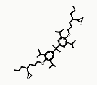 CCCC(CCCOc1c(C(C)C)cc(C(C)(C)c2cc(C(C)C)c(OCCCC(CCC)C3CO3)c(C(C)C)c2)cc1C(C)C)C1CO1